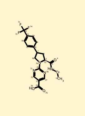 CONC(=O)[C@@H]1CC(c2ccc(C(F)(F)F)cc2)CN1c1ncc(C(=O)O)cn1